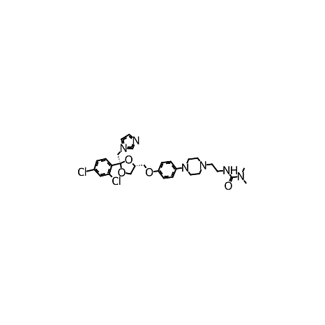 CN(C)C(=O)NCCN1CCN(c2ccc(OC[C@@H]3CO[C@@](Cn4ccnc4)(c4ccc(Cl)cc4Cl)O3)cc2)CC1